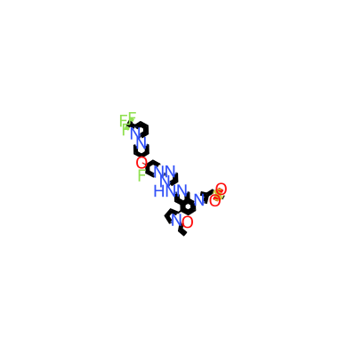 C=CC(=O)N1CCC[C@H]1c1ccc(N2CC(CS(C)(=O)=O)C2)c2cnc(Nc3ccnc(N4CC[C@@H](OC5CCN(c6cccc(C(F)(F)F)n6)CC5)[C@@H](F)C4)n3)cc12